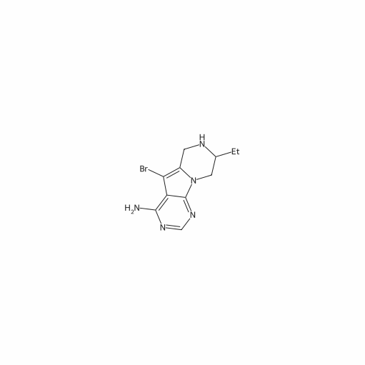 CCC1Cn2c(c(Br)c3c(N)ncnc32)CN1